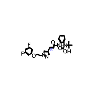 CC(C)(C)N(C(=O)O)c1ccccc1NC(=O)/C=C/c1cnn(CCOc2cc(F)cc(F)c2)c1